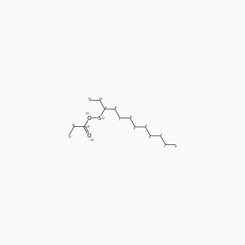 CCCCCCCCCC(CC)SOC(=O)CC